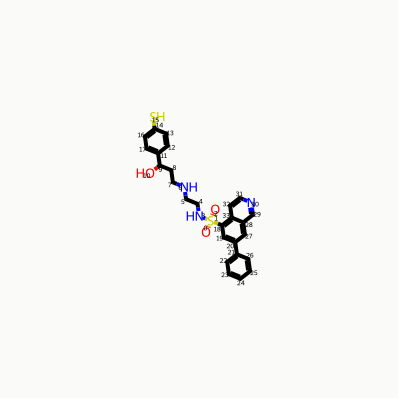 O=S(=O)(NCCNCCC(O)c1ccc(S)cc1)c1cc(-c2ccccc2)cc2cnccc12